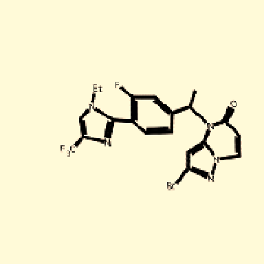 CCn1cc(C(F)(F)F)nc1-c1ccc(C(C)n2c(=O)ccn3nc(Br)cc23)cc1F